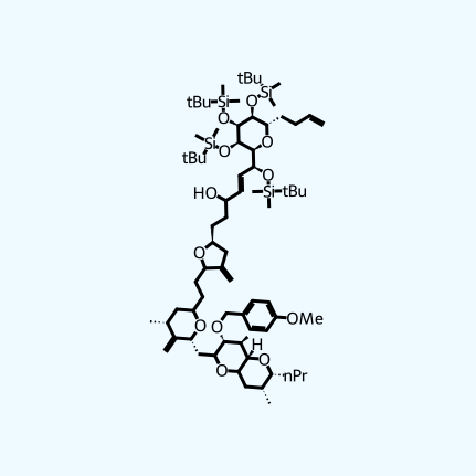 C=CCC[C@@H]1O[C@@H]([C@H](/C=C/C(O)CC[C@H]2CC(=C)C(CCC3C[C@@H](C)C(=C)[C@@H](CC4OC5C[C@@H](C)[C@@H](CCC)O[C@H]5[C@H](C)[C@H]4OCc4ccc(OC)cc4)O3)O2)O[Si](C)(C)C(C)(C)C)[C@@H](O[Si](C)(C)C(C)(C)C)[C@@H](O[Si](C)(C)C(C)(C)C)[C@H]1O[Si](C)(C)C(C)(C)C